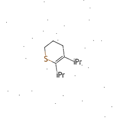 CC(C)C1=C(C(C)C)SCCC1